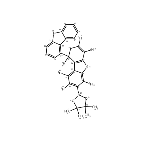 [2H]C1=C([2H])c2sc3c([2H])c(B4OC(C)(C)C(C)(C)O4)c([2H])c([2H])c3c2C([2H])(c2cccc3sc4ccccc4c23)C1